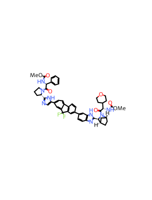 COC(=O)N[C@H](C(=O)N1[C@@H]2CC[C@H](C2)[C@H]1c1nc2ccc(-c3ccc4c(c3)C(F)(F)c3cc(-c5cnc([C@@H]6CCCN6C(=O)[C@H](NC(=O)OC)c6ccccc6)[nH]5)ccc3-4)cc2[nH]1)C1CCOCC1